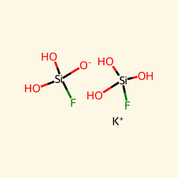 O[Si](O)(O)F.[K+].[O-][Si](O)(O)F